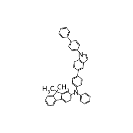 CC1(C)c2ccccc2-c2ccc(N(c3ccccc3)c3ccc(-c4ccc5c(ccn5-c5ccc(-c6ccccc6)cc5)c4)cc3)cc21